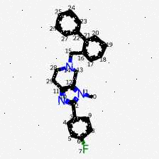 Cn1c(-c2ccc(F)cc2)nc2c1CN(Cc1ccccc1-c1ccccc1)CC2